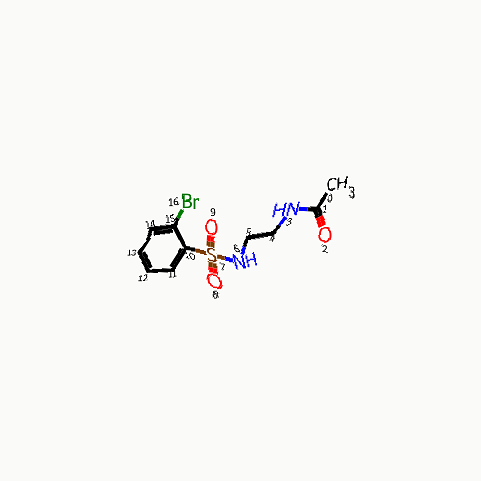 CC(=O)NCCNS(=O)(=O)c1ccccc1Br